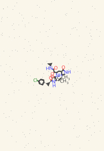 CC(C)(C)C[C@H](NC(=O)[C@H]1C[C@@H]1c1ccc(Cl)cc1)C(=O)NC(CC1CCNC1=O)C(=O)C(=O)NC1CC1